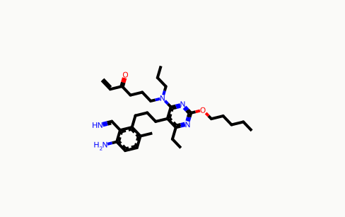 C=CC(=O)CCCN(CCC)c1nc(OCCCCC)nc(CC)c1CCCc1c(C)ccc(N)c1C=N